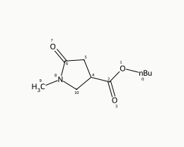 CCCCOC(=O)C1CC(=O)N(C)C1